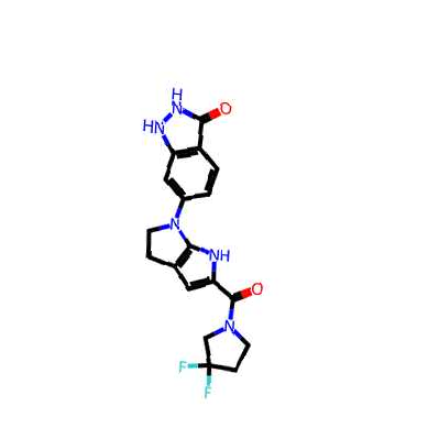 O=C(c1cc2c([nH]1)N(c1ccc3c(=O)[nH][nH]c3c1)CC2)N1CCC(F)(F)C1